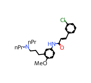 CCCN(CCC)CCCc1cc(NC(=O)C=Cc2cccc(Cl)c2)ccc1OC